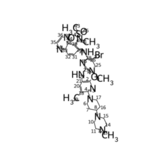 COc1nc(N2CCC(N3CCN(C)CC3)CC2)c(C)cc1Nc1ncc(Br)c(Nc2ccc3nccnc3c2N(C)S(C)(=O)=O)n1